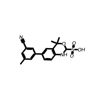 Cc1cc(C#N)cc(-c2ccc3c(c2)C(C)(C)OC(S(=O)(=O)O)N3)c1